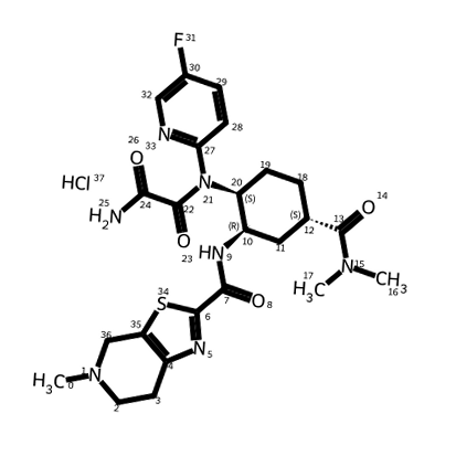 CN1CCc2nc(C(=O)N[C@@H]3C[C@@H](C(=O)N(C)C)CC[C@@H]3N(C(=O)C(N)=O)c3ccc(F)cn3)sc2C1.Cl